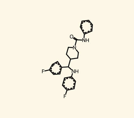 O=C(Nc1ccccc1)N1CCC(C(Nc2ccc(F)cc2)c2ccc(F)cc2)CC1